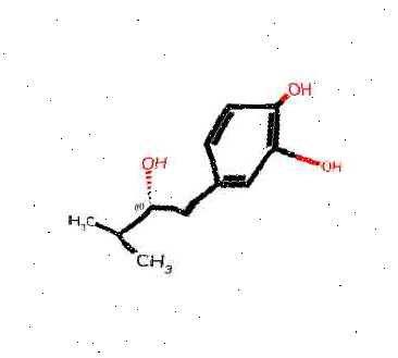 CC(C)[C@H](O)Cc1ccc(O)c(O)c1